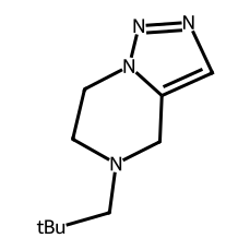 CC(C)(C)CN1CCn2nncc2C1